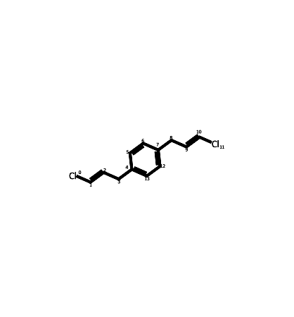 ClC=CCc1ccc(CC=CCl)cc1